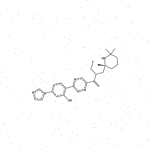 C=C(c1cnc(-c2ccc(-n3ccnc3)cc2O)nn1)C(CF)C[C@@]1(C)CCCC(C)(C)N1